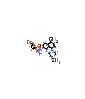 Cc1ccc(N2CCN(C)CC2)c2c1CC[C@@H](NS(=O)(=O)c1ccc(Br)s1)C2